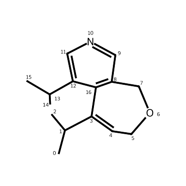 CC(C)C1=CCOCc2cncc(C(C)C)c21